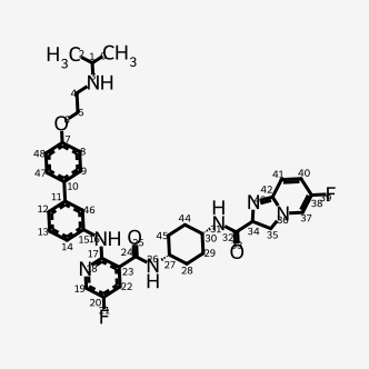 CC(C)NCCOc1ccc(-c2cccc(Nc3ncc(F)cc3C(=O)N[C@H]3CC[C@@H](NC(=O)C4CN5C=C(F)C=CC5=N4)CC3)c2)cc1